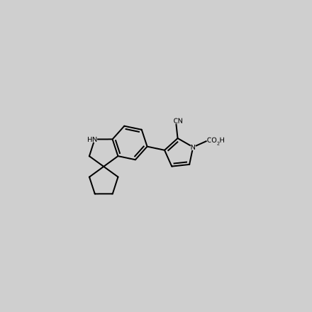 N#Cc1c(-c2ccc3c(c2)C2(CCCC2)CN3)ccn1C(=O)O